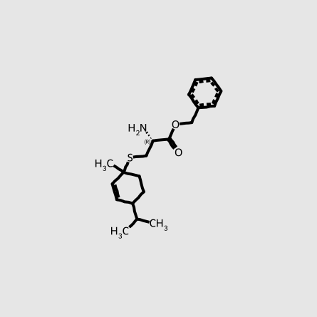 CC(C)C1C=CC(C)(SC[C@H](N)C(=O)OCc2ccccc2)CC1